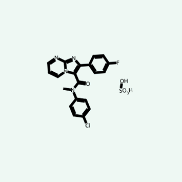 CN(C(=O)c1c(-c2ccc(F)cc2)nc2ncccn12)c1ccc(Cl)cc1.O=S(=O)(O)O